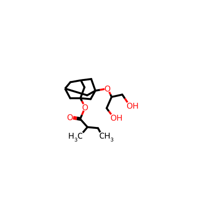 CCC(C)C(=O)OC12CC3CC(C1)CC(OC(CO)CO)(C3)C2